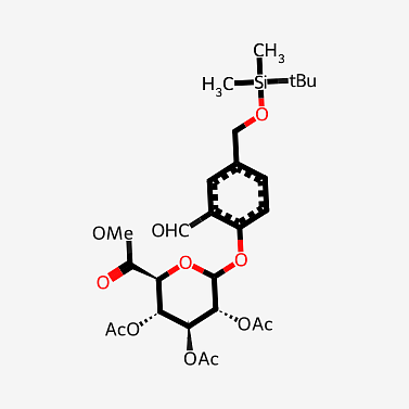 COC(=O)[C@H]1OC(Oc2ccc(CO[Si](C)(C)C(C)(C)C)cc2C=O)[C@H](OC(C)=O)[C@@H](OC(C)=O)[C@@H]1OC(C)=O